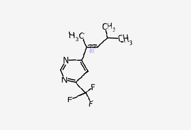 C/C(=C\C(C)C)c1cc(C(F)(F)F)ncn1